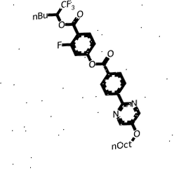 CCCCCCCCOc1cnc(-c2ccc(C(=O)Oc3ccc(C(=O)OC(CCCC)C(F)(F)F)c(F)c3)cc2)nc1